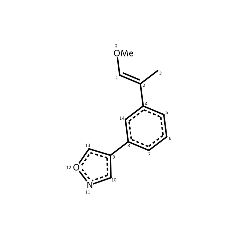 COC=C(C)c1cccc(-c2cnoc2)c1